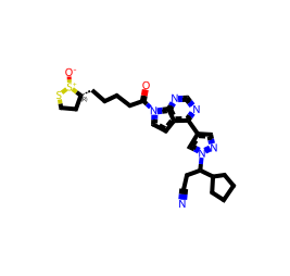 N#CCC(C1CCCC1)n1cc(-c2ncnc3c2ccn3C(=O)CCCC[C@@H]2CCS[S+]2[O-])cn1